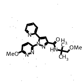 COCC(C)(C)NC(=O)c1cc(-c2ccccn2)n(-c2ccc(OC)nn2)n1